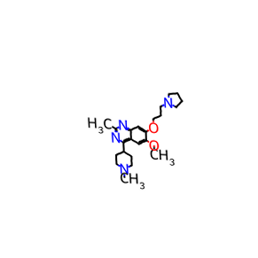 COc1cc2c(C3CCN(C)CC3)nc(C)nc2cc1OCCCN1CCCC1